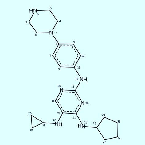 c1cc(N2CCNCC2)ccc1Nc1ncc(NC2CC2)c(NC2CCCC2)n1